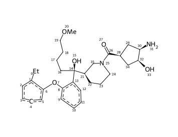 CCc1ccccc1Oc1ccccc1[C@](O)(CCCCOC)[C@@H]1CCCN(C(=O)[C@H]2C[C@@H](N)[C@@H](O)C2)C1